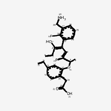 CC/C(O)=C(\C=C(/F)C(C)Oc1cc(CC)ccc1CC(=O)O)c1cccc(CN)c1F